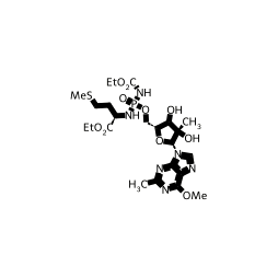 CCOC(=O)NP(=O)(N[C@@H](CCSC)C(=O)OCC)OC[C@H]1O[C@@H](n2cnc3c(OC)nc(C)nc32)[C@@](C)(O)C1O